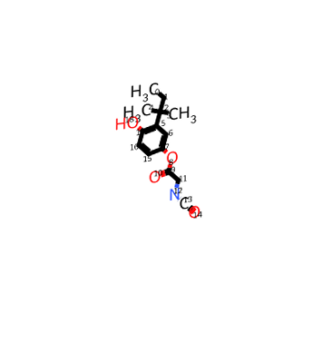 CCC(C)(C)c1cc(OC(=O)CN=C=O)ccc1O